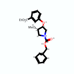 CCOC(=O)c1cccc(O[C@H]2CN(C(=O)OCc3ccccc3)C[C@@H]2OC)c1